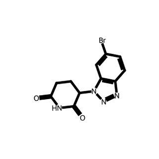 O=C1CCC(n2nnc3ccc(Br)cc32)C(=O)N1